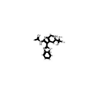 CC(=O)Nc1sc2c(c1-c1nc3ccccc3s1)CC(C(F)(F)F)NC2